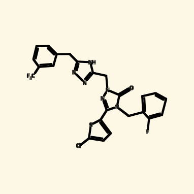 O=c1n(Cc2nnc(Cc3cccc(C(F)(F)F)c3)[nH]2)nc(-c2ccc(Cl)s2)n1Cc1ccccc1F